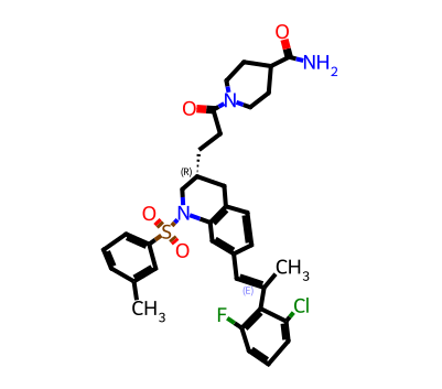 C/C(=C\c1ccc2c(c1)N(S(=O)(=O)c1cccc(C)c1)C[C@H](CCC(=O)N1CCC(C(N)=O)CC1)C2)c1c(F)cccc1Cl